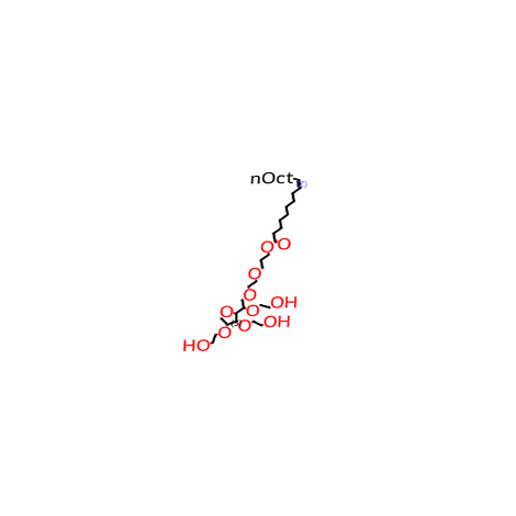 CCCCCCCC/C=C\CCCCCCCC(=O)OCCCOCCOCC(OCCO)C1OCC(OCCO)[C@@H]1OCCO